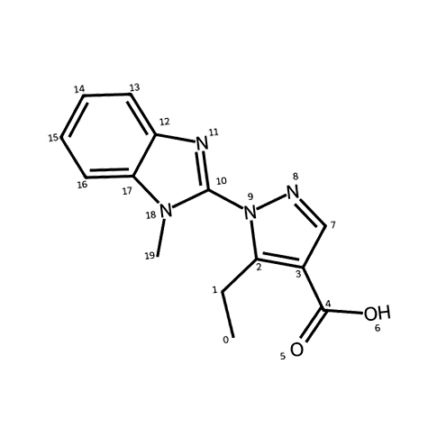 CCc1c(C(=O)O)cnn1-c1nc2ccccc2n1C